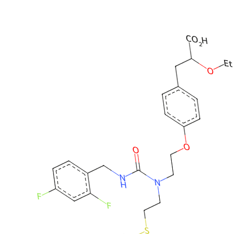 CCCCSCCN(CCOc1ccc(CC(OCC)C(=O)O)cc1)C(=O)NCc1ccc(F)cc1F